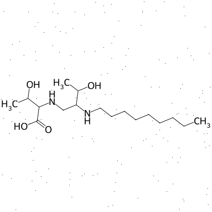 CCCCCCCCCNC(CNC(C(=O)O)C(C)O)C(C)O